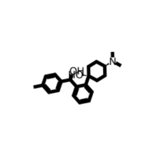 Cc1ccc(C(O)c2ccccc2[C@]2(O)CC[C@@H](N(C)C)CC2)cc1